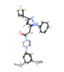 COc1cc(OC)cc(N2CCN(C(=O)Cc3cc(-c4ccsc4)nn3-c3ccccc3)CC2)c1